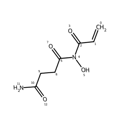 C=CC(=O)N(O)C(=O)CCC(N)=O